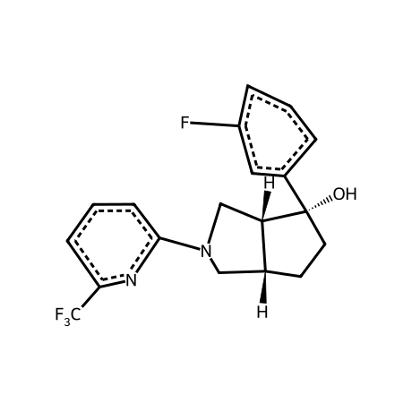 O[C@]1(c2cccc(F)c2)CC[C@@H]2CN(c3cccc(C(F)(F)F)n3)C[C@@H]21